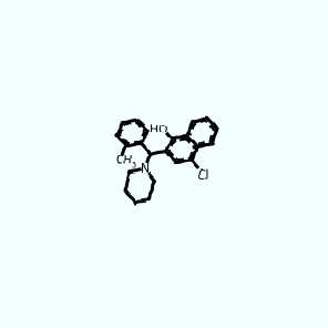 Cc1ccccc1C(c1cc(Cl)c2ccccc2c1O)N1CCCCC1